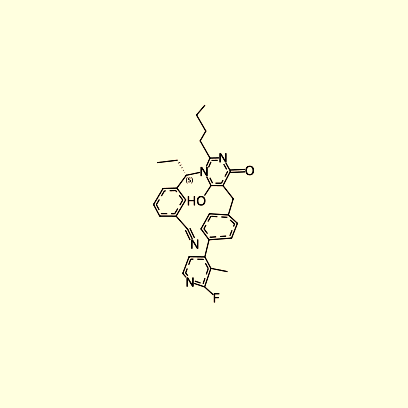 CCCCc1nc(=O)c(Cc2ccc(-c3ccnc(F)c3C)cc2)c(O)n1[C@@H](CC)c1cccc(C#N)c1